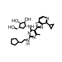 Cc1nc(NCCC2CCCC2)nc(N[C@@H]2C[C@H](CO)[C@@H](O)[C@H]2O)c1-c1nc2c(C3CC3)nccc2s1